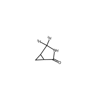 [2H]C1([2H])NC(=O)C2CC21